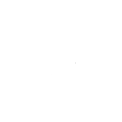 COC(=O)Cc1cnc2c(C)ccc(C)n12